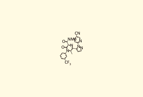 CNC(=O)c1nc(-c2ccnn2-c2ccc(C#N)cn2)c(C)n(-c2cccc(C(F)(F)F)c2)c1=O